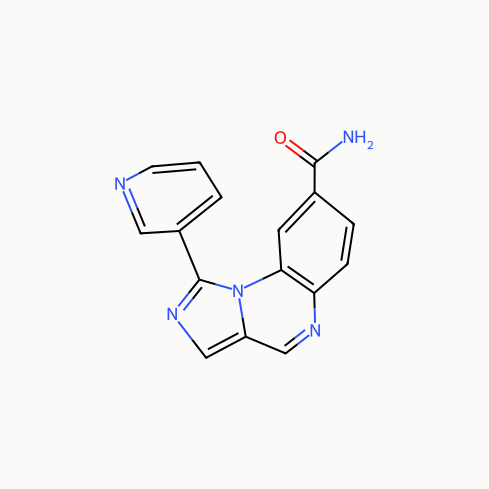 NC(=O)c1ccc2ncc3cnc(-c4cccnc4)n3c2c1